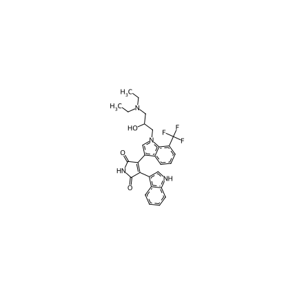 CCN(CC)CC(O)Cn1cc(C2=C(c3c[nH]c4ccccc34)C(=O)NC2=O)c2cccc(C(F)(F)F)c21